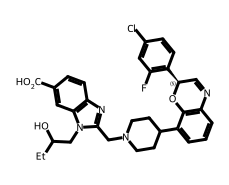 CCC(O)Cn1c(CN2CCC(c3cccc4c3O[C@@H](c3ccc(Cl)cc3F)C=N4)CC2)nc2ccc(C(=O)O)cc21